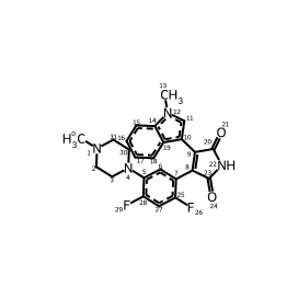 CN1CCN(c2cc(C3=C(c4cn(C)c5ccccc45)C(=O)NC3=O)c(F)cc2F)CC1